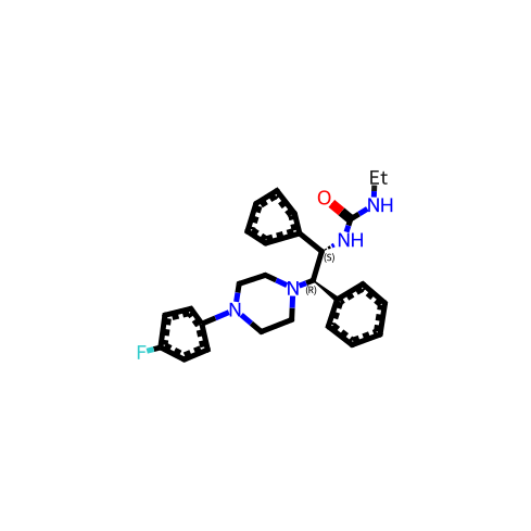 CCNC(=O)N[C@@H](c1ccccc1)[C@@H](c1ccccc1)N1CCN(c2ccc(F)cc2)CC1